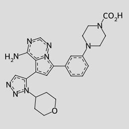 Nc1ncnn2c(-c3cccc(N4CCN(C(=O)O)CC4)c3)cc(-c3cnnn3C3CCOCC3)c12